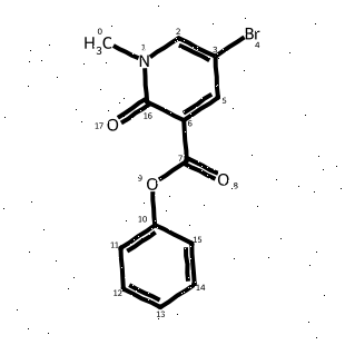 Cn1cc(Br)cc(C(=O)Oc2ccccc2)c1=O